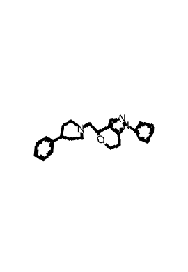 c1ccc(C2CCN(CC3OCCc4c3cnn4-c3ccccc3)CC2)cc1